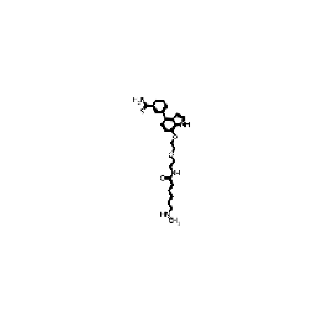 CNCCCCCC(=O)NCCOCCOc1ccc(-c2cccc(C(N)=S)c2)c2cc[nH]c12